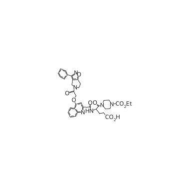 CCOC(=O)N1CCN(C(=O)C(CCC(=O)O)NC(=O)c2cc(OCC(=O)N3CCc4onc(-c5ccccc5)c4C3)c3ccccc3n2)CC1